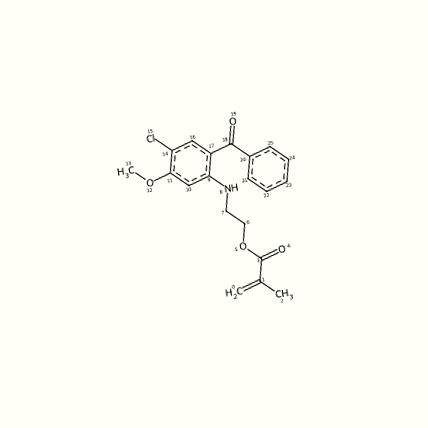 C=C(C)C(=O)OCCNc1cc(OC)c(Cl)cc1C(=O)c1ccccc1